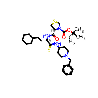 CC(C)(C)OC(=O)N1CSC[C@H]1C(=O)N[C@@H](CCC1CCCCC1)C(=S)NC1CCN(Cc2ccccc2)CC1